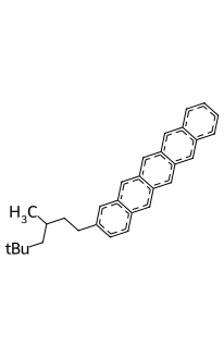 CC(CCc1ccc2cc3cc4cc5ccccc5cc4cc3cc2c1)CC(C)(C)C